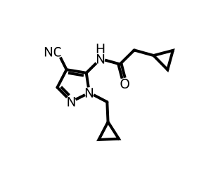 N#Cc1cnn(CC2CC2)c1NC(=O)CC1CC1